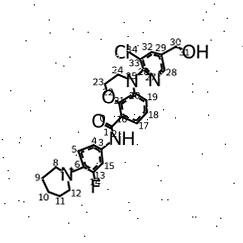 O=C(Nc1ccc(N2CCCCC2)c(F)c1)c1cccc2c1OCCN2c1ncc(CO)cc1Cl